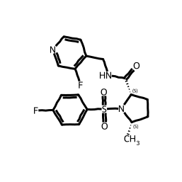 C[C@H]1CC[C@@H](C(=O)NCc2ccncc2F)N1S(=O)(=O)c1ccc(F)cc1